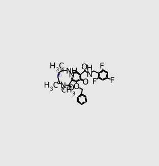 C[C@H]1/C=C\[C@H](C)N(C)C(=O)c2c(OCc3ccccc3)c(=O)c(C(=O)NCc3c(F)cc(F)cc3F)cn2N1